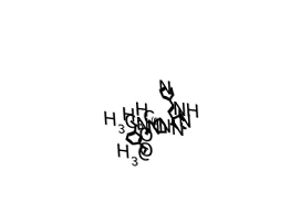 COc1cccc(C(C)NC(=O)N2CCN(c3ncnc4[nH]c(-c5ccncc5)cc34)C[C@@H]2C)c1